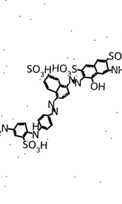 Nc1cc2c(O)c(N=Nc3ccc(N=Nc4ccc(Nc5ccc([N+](=O)[O-])cc5S(=O)(=O)O)cc4)c4ccc(S(=O)(=O)O)cc34)c(S(=O)(=O)O)cc2cc1S(=O)(=O)O